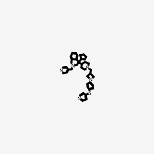 c1ccc2c(c1)CN(Cc1ccncc1)CC2(C1CCCC1)C1CCN(CC2CN(c3ccc(Sc4ccncc4)cc3)C2)CC1